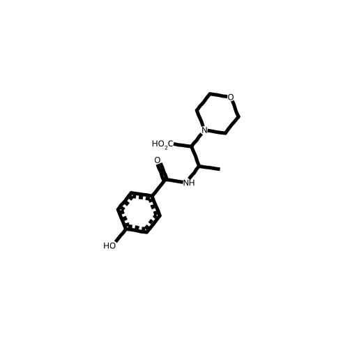 CC(NC(=O)c1ccc(O)cc1)C(C(=O)O)N1CCOCC1